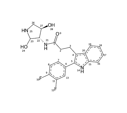 O=C(CCc1c(-c2ccc(F)c(F)c2)[nH]c2ccccc12)N[C@@H]1C(O)NC[C@H]1O